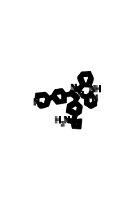 NC1(c2ccc(-c3c(-c4ccc(-c5ccncc5)cc4)nc4n3-c3cccnc3Nc3ccccc3-4)cc2)CCC1